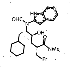 CNC(=O)[C@H](CC(C)C)C[C@H](O)[C@H](CC1CCCCC1)N(C=O)c1cc2ccncc2[nH]1